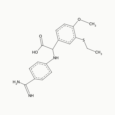 CCSc1cc(C(Nc2ccc(C(=N)N)cc2)C(=O)O)ccc1OC